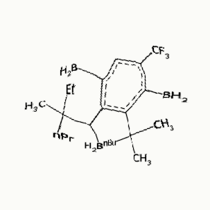 Bc1cc(C(F)(F)F)c(B)c(C(C)(C)CCCC)c1C(B)C(C)(CC)CCC